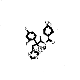 CC(N(CC(=O)O)C(=O)c1ccc(C(F)(F)F)cc1)C(O)(Cn1cncn1)c1ccc(F)cc1F